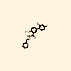 O=C(NN=Cc1ccccn1)c1cc(-c2ccc(F)cc2F)ccc1O